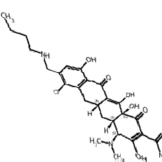 CCCCNCc1cc(O)c2c(c1Cl)C[C@H]1C[C@H]3[C@H](N(C)C)C(O)=C(C(N)=O)C(=O)[C@@]3(O)C(O)=C1C2=O